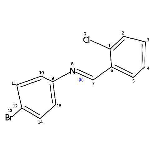 Clc1ccccc1/C=N/c1ccc(Br)cc1